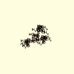 CC(=O)NC1C(OCCOCCNC(=O)CCC(NC(=O)CCC(NCC2CCC(O)CC2)C(=O)NCCOCCOC2OC(COC(C)=O)C(OC(C)=O)C(OC(C)=O)C2NC(C)=O)C(=O)NCCOCCOC2OC(COC(C)=O)C(OC(C)=O)C(OC(C)=O)C2NC(C)=O)OC(COC(C)=O)C(OC(C)=O)C1OC(C)=O